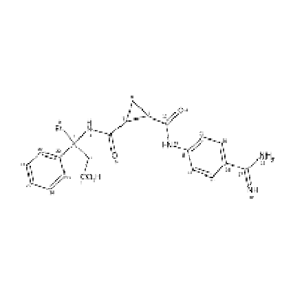 CCC(CC(=O)O)(NC(=O)C1CC1C(=O)Nc1ccc(C(=N)N)cc1)c1ccccc1